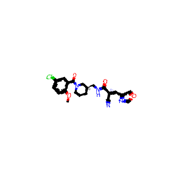 COc1ccc(Cl)cc1C(=O)N1CCC[C@H](CNC(=O)/C(C#N)=C/c2cocn2)C1